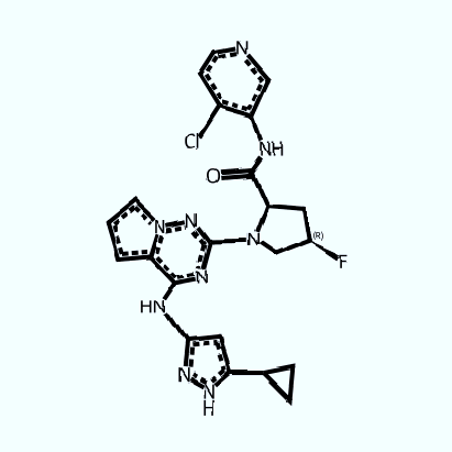 O=C(Nc1cnccc1Cl)C1C[C@@H](F)CN1c1nc(Nc2cc(C3CC3)[nH]n2)c2cccn2n1